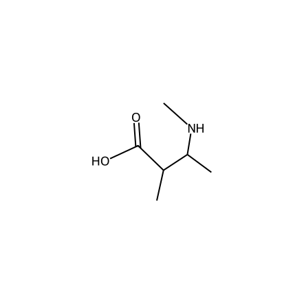 CNC(C)C(C)C(=O)O